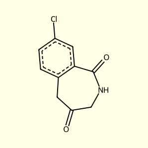 O=C1CNC(=O)c2cc(Cl)ccc2C1